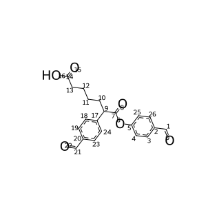 O=Cc1ccc(OC(=O)C(CCCCC(=O)O)c2ccc(C=O)cc2)cc1